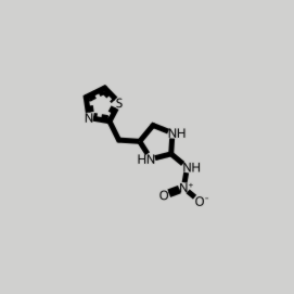 O=[N+]([O-])NC1NCC(Cc2nccs2)N1